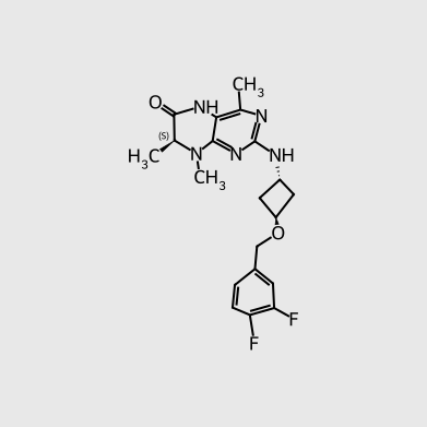 Cc1nc(N[C@H]2C[C@H](OCc3ccc(F)c(F)c3)C2)nc2c1NC(=O)[C@H](C)N2C